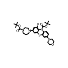 CC(C)(C)OC(=O)N1CCCN(c2cc(F)c3c(c2)Sc2cc(N4CCOCC4)ccc2N3C(=O)OC(C)(C)C)CC1